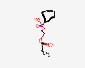 C=CC(=O)OCCOP(=O)(O)c1ccccc1